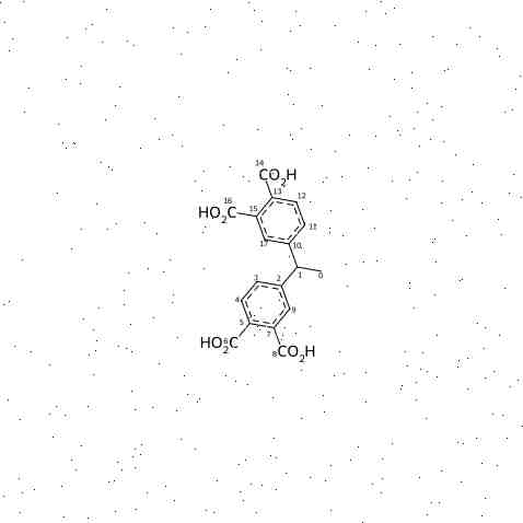 CC(c1ccc(C(=O)O)c(C(=O)O)c1)c1ccc(C(=O)O)c(C(=O)O)c1